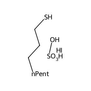 CCCCCCCCS.I.O=S(=O)(O)O